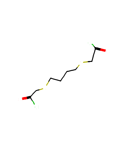 O=C(Cl)CSCCCCSCC(=O)Cl